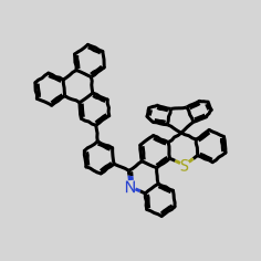 c1cc(-c2ccc3c4ccccc4c4ccccc4c3c2)cc(-c2nc3ccccc3c3c4c(ccc23)C2(c3ccccc3S4)c3ccccc3-c3ccccc32)c1